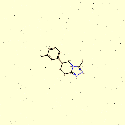 Cc1cccc(C2CCc3nnc(C)n3C2)c1